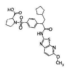 COc1ccc2nc(NC(=O)C(CC3CCCC3)c3ccc(S(=O)(=O)N4CCC[C@H]4C(=O)O)cc3)sc2n1